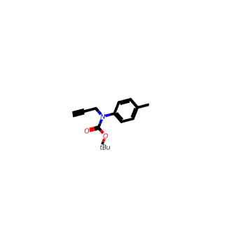 C#CCN(C(=O)OC(C)(C)C)c1ccc(C)cc1